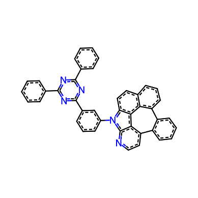 c1ccc(-c2nc(-c3ccccc3)nc(-c3cccc(-n4c5ccc6cccc7c6c5c5c(ccnc54)-c4ccccc4-7)c3)n2)cc1